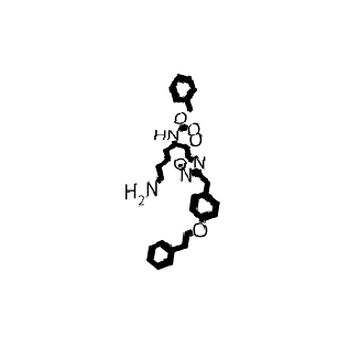 NCCCCC(NC(=O)OCc1ccccc1)C(=O)c1nc(Cc2ccc(OCCc3ccccc3)cc2)no1